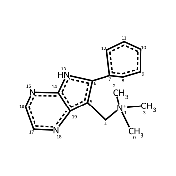 C[N+](C)(C)Cc1c(-c2ccccc2)[nH]c2nccnc12